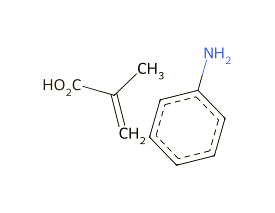 C=C(C)C(=O)O.Nc1ccccc1